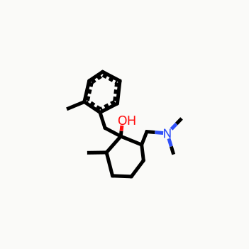 Cc1ccccc1CC1(O)C(C)CCCC1CN(C)C